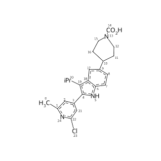 Cc1cc(-c2[nH]c3ccc(C4CCN(C(=O)O)CC4)cc3c2C(C)C)cc(Cl)n1